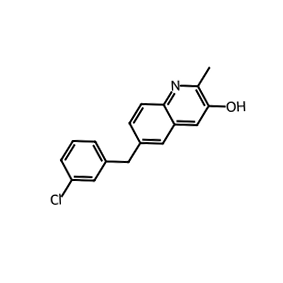 Cc1nc2ccc(Cc3cccc(Cl)c3)cc2cc1O